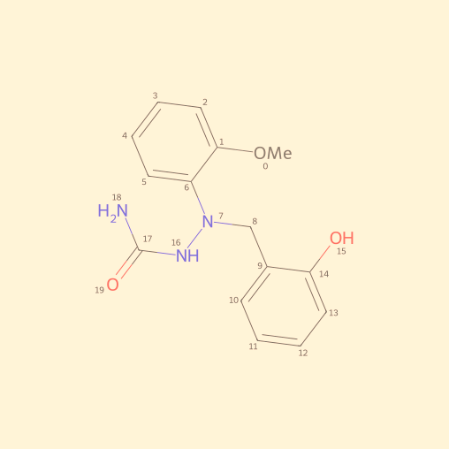 COc1ccccc1N(Cc1ccccc1O)NC(N)=O